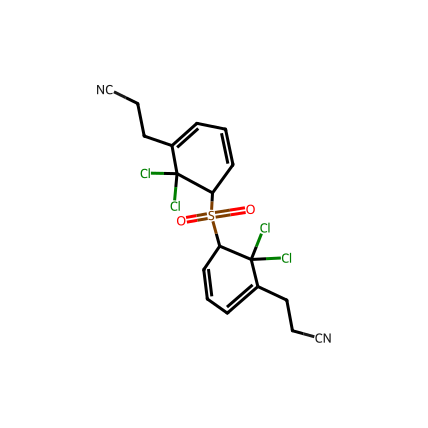 N#CCCC1=CC=CC(S(=O)(=O)C2C=CC=C(CCC#N)C2(Cl)Cl)C1(Cl)Cl